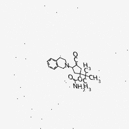 CC(C)(C)C1(OC(N)=O)CC(=C=O)C(N2CCc3ccccc3C2)C1